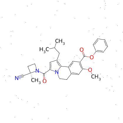 COc1cc2c(cc1C(=O)Oc1ccccc1)-c1c(CC(C)C)cc(C(=O)N3CC[C@]3(C)C#N)n1CC2